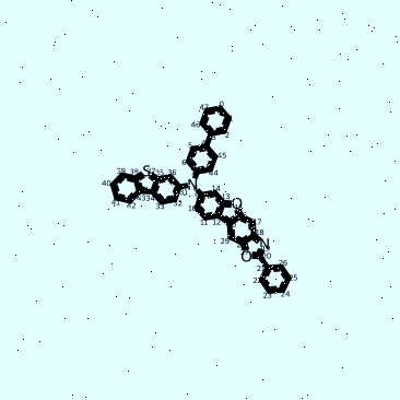 c1ccc(-c2ccc(N(c3ccc4c(c3)oc3cc5nc(-c6ccccc6)oc5cc34)c3ccc4c(c3)sc3ccccc34)cc2)cc1